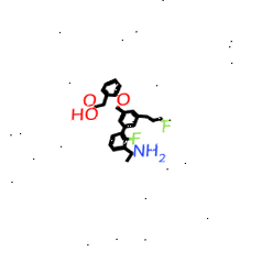 CC(N)c1cccc(-c2cc(CCCF)cc(COc3ccccc3CC(=O)O)c2)c1F